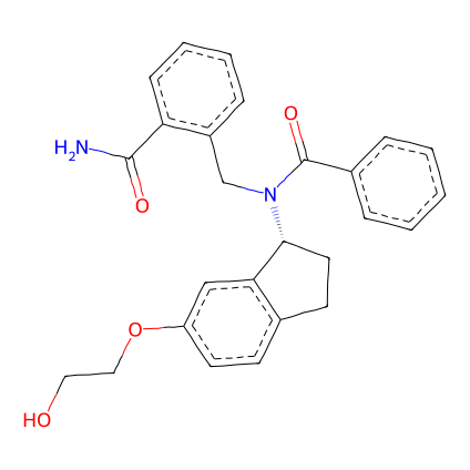 NC(=O)c1ccccc1CN(C(=O)c1ccccc1)[C@@H]1CCc2ccc(OCCO)cc21